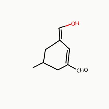 CC1CC(=CO)C=C(C=O)C1